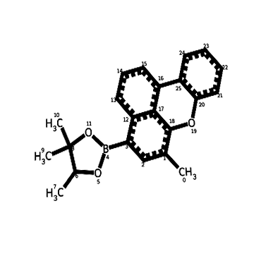 Cc1cc(B2OC(C)C(C)(C)O2)c2cccc3c2c1Oc1ccccc1-3